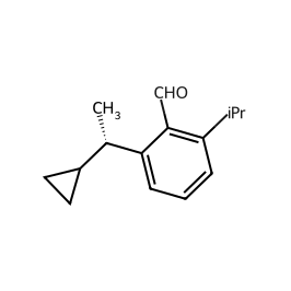 CC(C)c1cccc([C@@H](C)C2CC2)c1C=O